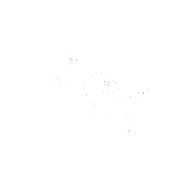 CCOC1=CC=C(OC(=O)C(Cl)CC)C([N+](=O)[O-])C1=C=O